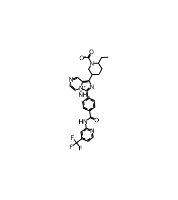 CCC1CCC(C2=C3C=NC=C[N+]3(N)C(c3ccc(C(=O)Nc4cc(C(F)(F)F)ccn4)cc3)=N2)CN1C(=O)[O-]